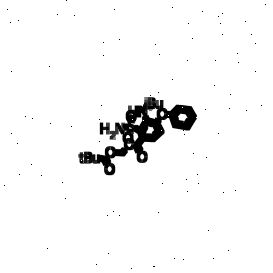 CC[C@H](C)Nc1c(Oc2ccccc2)ccc(C(=O)OCOC(=O)C(C)(C)C)c1S(N)(=O)=O